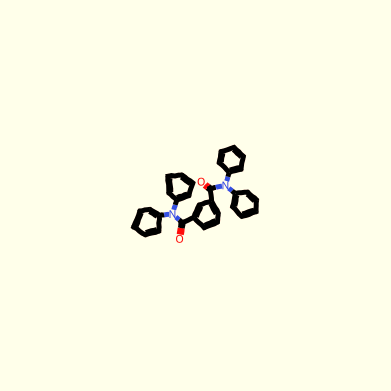 O=C(c1cccc(C(=O)N(c2ccccc2)c2ccccc2)c1)N(c1ccccc1)c1ccccc1